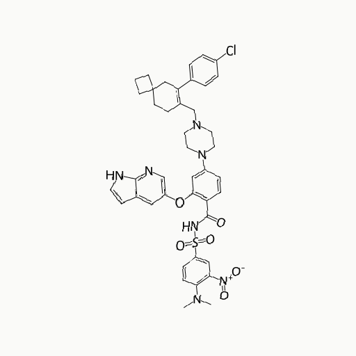 CN(C)c1ccc(S(=O)(=O)NC(=O)c2ccc(N3CCN(CC4=C(c5ccc(Cl)cc5)CC5(CCC5)CC4)CC3)cc2Oc2cnc3[nH]ccc3c2)cc1[N+](=O)[O-]